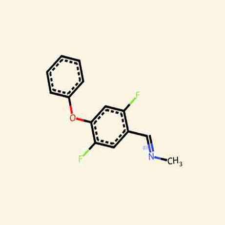 C/N=C/c1cc(F)c(Oc2ccccc2)cc1F